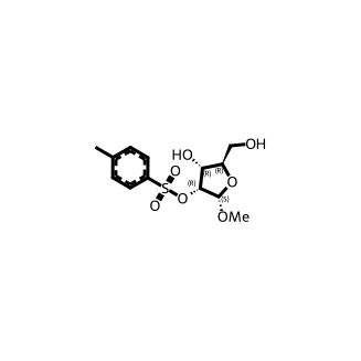 CO[C@H]1O[C@H](CO)[C@@H](O)[C@H]1OS(=O)(=O)c1ccc(C)cc1